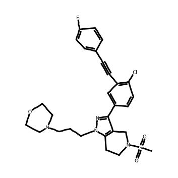 CS(=O)(=O)N1CCc2c(c(-c3ccc(Cl)c(C#Cc4ccc(F)cc4)c3)nn2CCCN2CCOCC2)C1